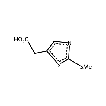 CSc1ncc(CC(=O)O)s1